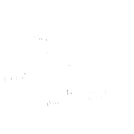 CC(C)(C)N(C(=O)O)[C@@H](c1ccccc1)[C@@H](O)C(=O)O